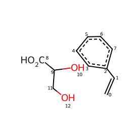 C=Cc1ccccc1.O=C(O)C(O)CO